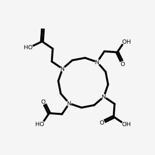 C=C(O)CCN1CCN(CC(=O)O)CCN(CC(=O)O)CCN(CC(=O)O)CC1